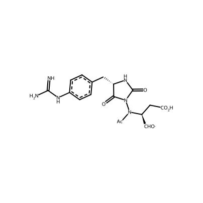 CC(=O)N([C@H]([C]=O)CC(=O)O)N1C(=O)N[C@@H](Cc2ccc(NC(=N)N)cc2)C1=O